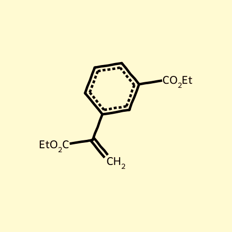 C=C(C(=O)OCC)c1cccc(C(=O)OCC)c1